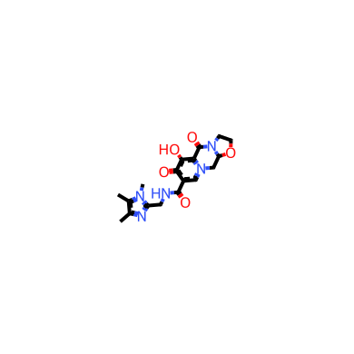 Cc1nc(CNC(=O)c2cn3c(c(O)c2=O)C(=O)N2CCOC2C3)n(C)c1C